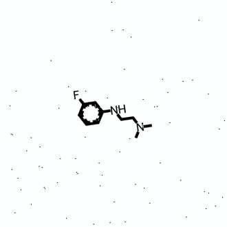 CN(C)CCNc1cccc(F)c1